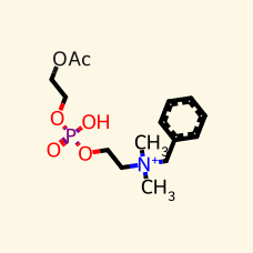 CC(=O)OCCOP(=O)(O)OCC[N+](C)(C)Cc1ccccc1